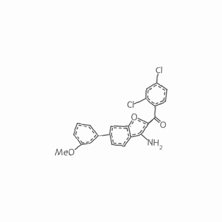 COc1cccc(-c2ccc3c(N)c(C(=O)c4ccc(Cl)cc4Cl)oc3c2)c1